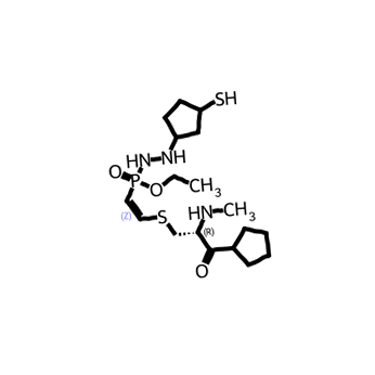 CCOP(=O)(/C=C\SC[C@H](NC)C(=O)C1CCCC1)NNC1CCC(S)C1